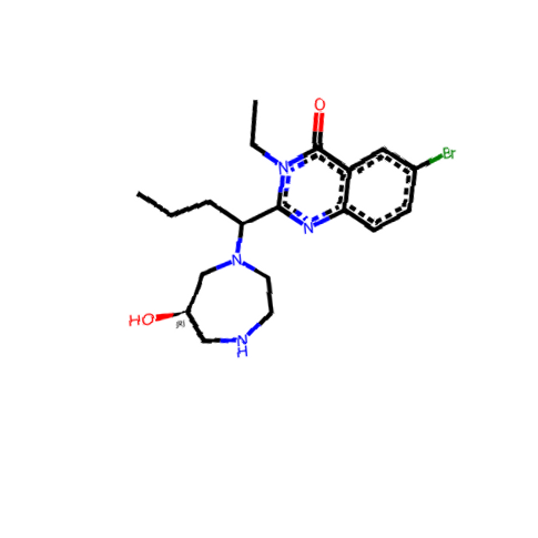 CCCC(c1nc2ccc(Br)cc2c(=O)n1CC)N1CCNC[C@@H](O)C1